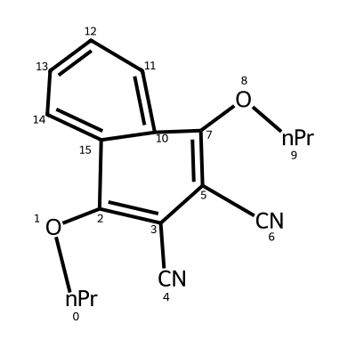 CCCOc1c(C#N)c(C#N)c(OCCC)c2ccccc12